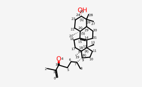 C=C(C)C(=O)CCC(C)[C@H]1CC[C@@]2(C)C3=C(CC[C@]12C)[C@@]1(C)CC[C@H](O)C(C)(C)C1CC3